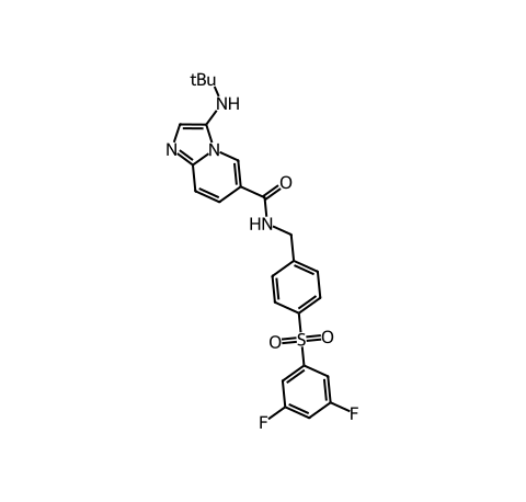 CC(C)(C)Nc1cnc2ccc(C(=O)NCc3ccc(S(=O)(=O)c4cc(F)cc(F)c4)cc3)cn12